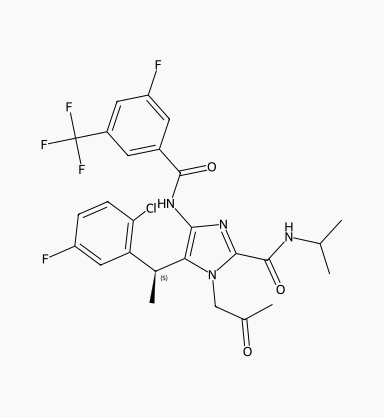 CC(=O)Cn1c(C(=O)NC(C)C)nc(NC(=O)c2cc(F)cc(C(F)(F)F)c2)c1[C@@H](C)c1cc(F)ccc1Cl